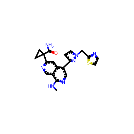 CNc1ncc(-c2ccn(Cc3nccs3)n2)c2cc(C3(C(N)=O)CC3)ncc12